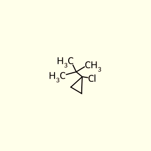 CC(C)(C)C1(Cl)CC1